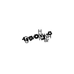 CC(C)(C)OC(=O)N1CCN(c2ccc(Nc3ncc(Br)c(NCC4CCCC4)n3)cc2)CC1